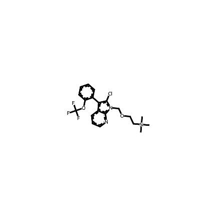 C[Si](C)(C)CCOCn1c(Cl)c(-c2ccccc2OC(F)(F)F)c2cccnc21